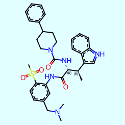 C[C@H](c1c[nH]c2ccccc12)[C@@H](NC(=O)N1CCC(c2ccccc2)CC1)C(=O)Nc1cc(CN(C)C)ccc1S(C)(=O)=O